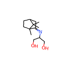 CC12CCC(CC1=NC(CO)CO)C2(C)C